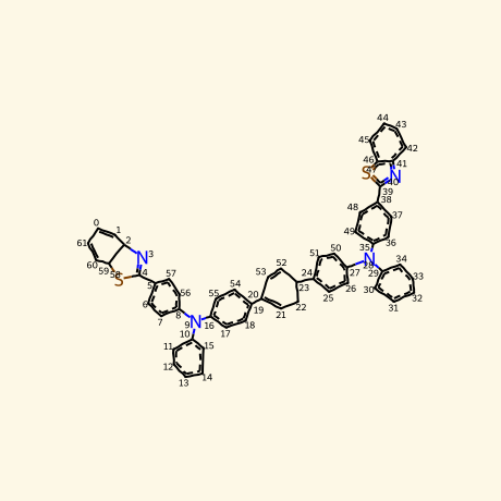 C1=CC2N=C(c3ccc(N(c4ccccc4)c4ccc(C5=CCC(c6ccc(N(c7ccccc7)c7ccc(-c8nc9ccccc9s8)cc7)cc6)C=C5)cc4)cc3)SC2C=C1